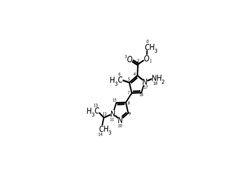 COC(=O)c1c(C)c(-c2cnn(C(C)C)c2)cn1N